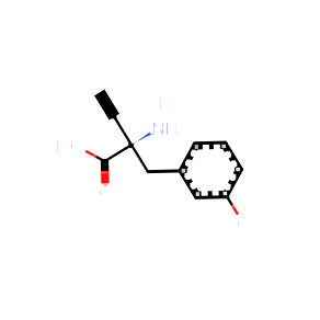 C#C[C@](N)(Cc1cccc(O)c1)C(=O)O.Cl